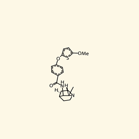 COc1ccc(Oc2ccc(C(=O)N[C@@H]3C4CCN(CC4)[C@H]3C)cc2)s1